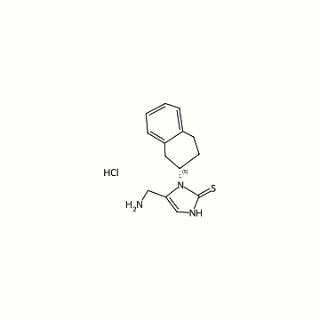 Cl.NCc1c[nH]c(=S)n1[C@H]1CCc2ccccc2C1